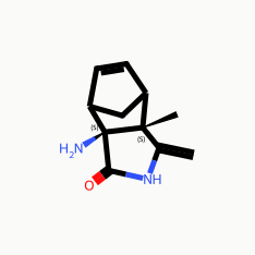 C=C1NC(=O)[C@]2(N)C3C=CC(C3)[C@]12C